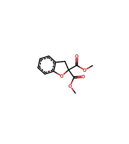 COC(=O)C1(C(=O)OC)Cc2ccccc2O1